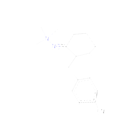 C[N+](C)(C)/N=C1\CCCCC1Cc1ccc(C#N)cc1